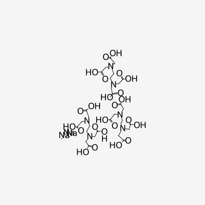 O=C(O)CN(CCN(CC(=O)O)CC(=O)O)CC(=O)O.O=C(O)CN(CCN(CC(=O)O)CC(=O)O)CC(=O)O.O=C(O)CN(CCN(CC(=O)O)CC(=O)O)CC(=O)O.[Na].[Na].[Na]